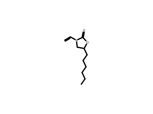 C=CN1CC(CCCCCC)OC1=O